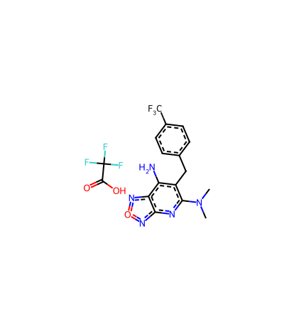 CN(C)c1nc2nonc2c(N)c1Cc1ccc(C(F)(F)F)cc1.O=C(O)C(F)(F)F